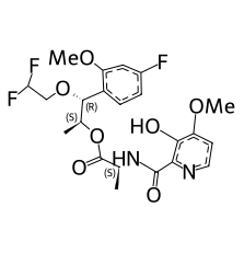 COc1cc(F)ccc1[C@@H](OCC(F)F)[C@H](C)OC(=O)[C@H](C)NC(=O)c1nccc(OC)c1O